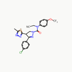 Cc1nnc(C2CN(C(=O)N(CC#N)c3ccc(OC(F)(F)F)cc3)N=C2c2ccc(Cl)cc2)s1